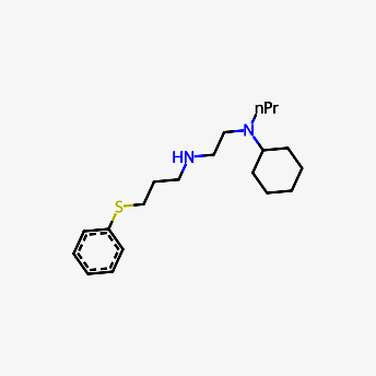 CCCN(CCNCCCSc1ccccc1)C1CCCCC1